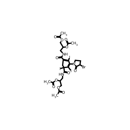 CC(=O)OCC(CNC(=O)C1=C(I)C(N2CCC(Br)C2=O)=C(I)C(I)(C(=O)NCC(COC(C)=O)OC(C)=O)C1)OC(C)=O